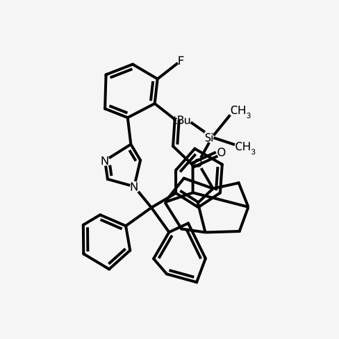 CC(C)(C)[Si](C)(C)OC12CC3CC(C1)C(C(=O)/C=C/c1c(F)cccc1-c1cn(C(c4ccccc4)(c4ccccc4)c4ccccc4)cn1)C(C3)C2